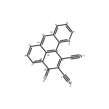 N#CC1=C(C#N)c2c3ncccc3cc3cccc(c23)C1=O